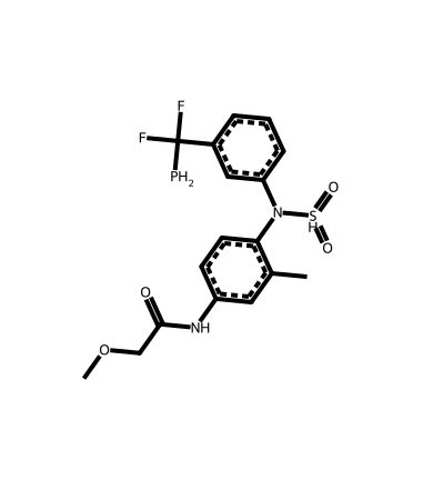 COCC(=O)Nc1ccc(N(c2cccc(C(F)(F)P)c2)[SH](=O)=O)c(C)c1